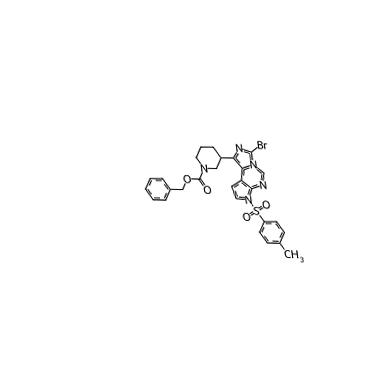 Cc1ccc(S(=O)(=O)n2ccc3c2ncn2c(Br)nc(C4CCCN(C(=O)OCc5ccccc5)C4)c32)cc1